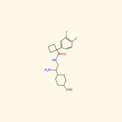 NC(CNC(=O)C1(c2ccc(F)c(F)c2)CCC1)C1CCC(C=O)CC1